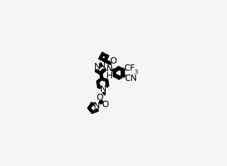 N#Cc1ccc(NC(=O)C2(n3cc(C4CCN(COC(=O)N5CCCC5)CC4)cn3)CCC2)cc1C(F)(F)F